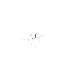 CCOc1c(C(=O)OC)ccc(N)c1[N+](=O)[O-]